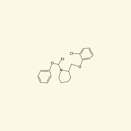 CCC(Oc1ccccc1)N1CCCCC1COc1ccccc1Cl